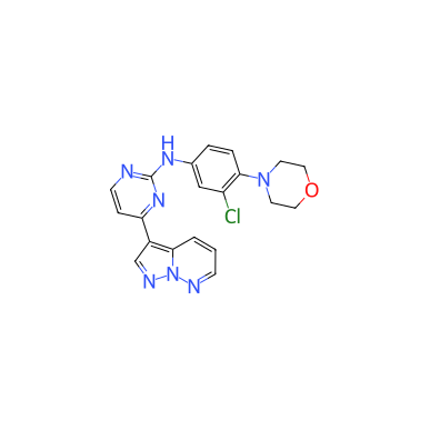 Clc1cc(Nc2nccc(-c3cnn4ncccc34)n2)ccc1N1CCOCC1